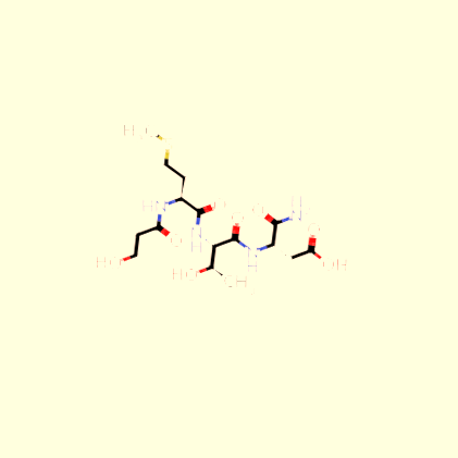 CSCC[C@H](NC(=O)CCO)C(=O)N[C@H](C(=O)N[C@@H](CC(=O)O)C(N)=O)[C@@H](C)O